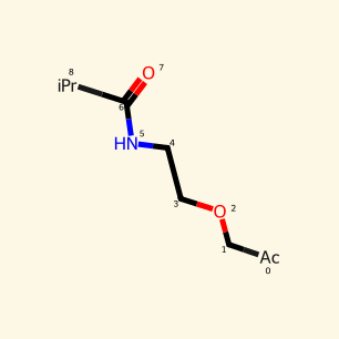 CC(=O)COCCNC(=O)C(C)C